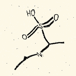 CC[N]C(C)S(=O)(=O)O